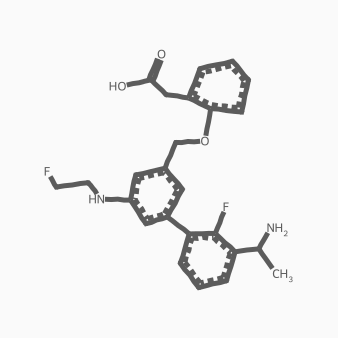 CC(N)c1cccc(-c2cc(COc3ccccc3CC(=O)O)cc(NCCF)c2)c1F